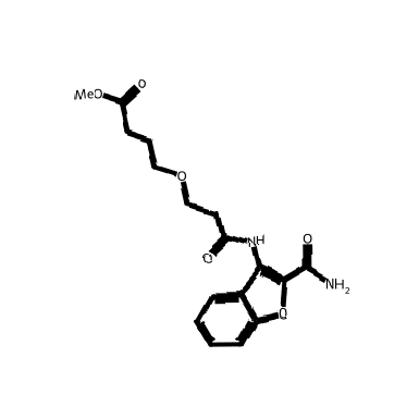 COC(=O)CCCOCCC(=O)Nc1c(C(N)=O)oc2ccccc12